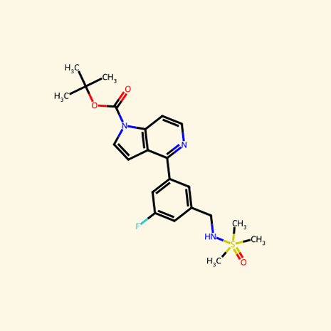 CC(C)(C)OC(=O)n1ccc2c(-c3cc(F)cc(CNS(C)(C)(C)=O)c3)nccc21